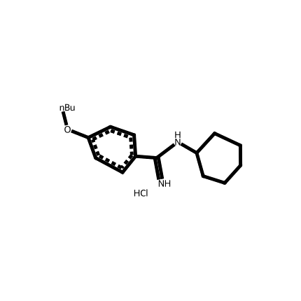 CCCCOc1ccc(C(=N)NC2CCCCC2)cc1.Cl